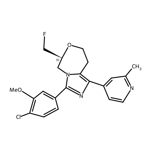 COc1cc(-c2nc(-c3ccnc(C)c3)c3n2C[C@@H](CF)OCC3)ccc1Cl